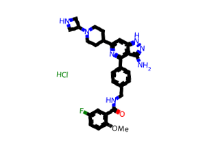 COc1ccc(F)cc1C(=O)NCc1ccc(-c2nc(C3CCN(C4CNC4)CC3)cc3[nH]nc(N)c23)cc1.Cl